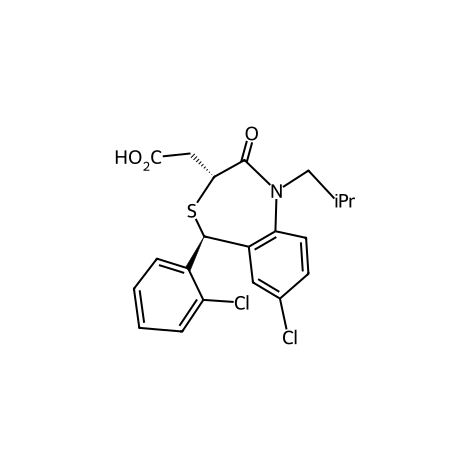 CC(C)CN1C(=O)[C@@H](CC(=O)O)S[C@H](c2ccccc2Cl)c2cc(Cl)ccc21